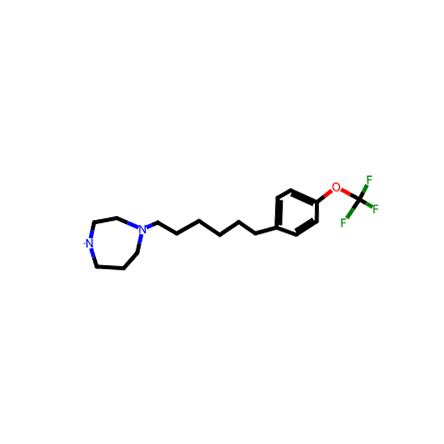 FC(F)(F)Oc1ccc(CCCCCCN2CCC[N]CC2)cc1